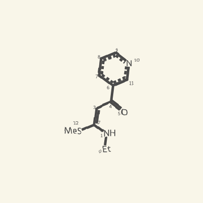 CCNC(=CC(=O)c1cccnc1)SC